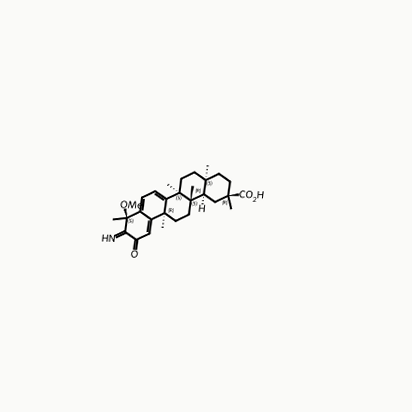 CO[C@]1(C)C(=N)C(=O)C=C2C1=CC=C1[C@@]2(C)CC[C@@]2(C)[C@@H]3C[C@](C)(C(=O)O)CC[C@]3(C)CC[C@]12C